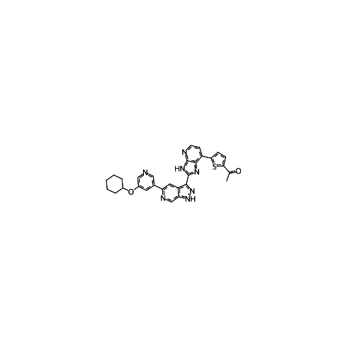 CC(=O)c1ccc(-c2ccnc3[nH]c(-c4n[nH]c5cnc(-c6cncc(OC7CCCCC7)c6)cc45)nc23)s1